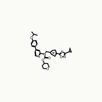 CC(C)Oc1ccc(-c2ccnc(N(CC34CCC(c5nc(C6CC6)no5)(CC3)CC4)C(=O)OC3CCOCC3)c2)cc1